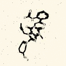 CC#CCn1c(N2CCCC(N)C2)nc2c1c(=O)n(CC(=O)c1ccccc1NC(=O)CC)c(=O)n2C